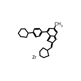 Cc1cc(-c2ccc(C3CCCCC3)cc2)c2c(c1)=[C]C(=CC1CCCCC1)C=2.[Zr]